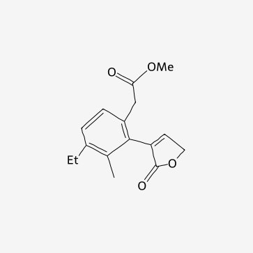 CCc1ccc(CC(=O)OC)c(C2=CCOC2=O)c1C